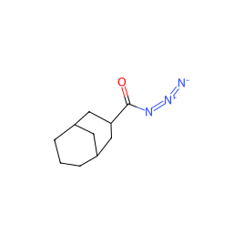 [N-]=[N+]=NC(=O)C1CC2CCCC(C2)C1